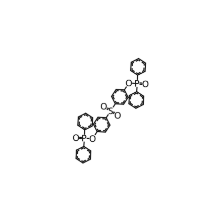 O=P(Oc1ccc(S(=O)(=O)c2ccc(OP(=O)(c3ccccc3)c3ccccc3)cc2)cc1)(c1ccccc1)c1ccccc1